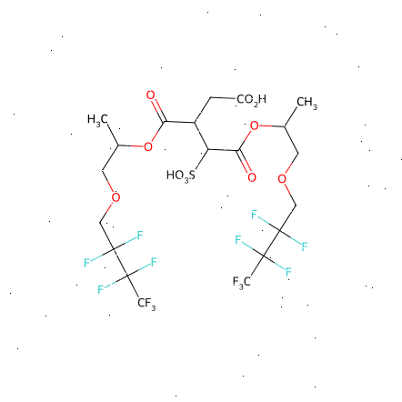 CC(COCC(F)(F)C(F)(F)C(F)(F)F)OC(=O)C(CC(=O)O)C(C(=O)OC(C)COCC(F)(F)C(F)(F)C(F)(F)F)S(=O)(=O)O